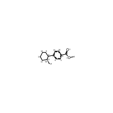 COC(=O)c1ccc(C2CCCC[C@@H]2C)cc1